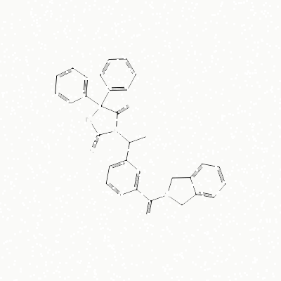 CC(c1cccc(C(=O)N2Cc3ccccc3C2)c1)N1C(=N)NC(c2ccccc2)(c2ccccc2)C1=O